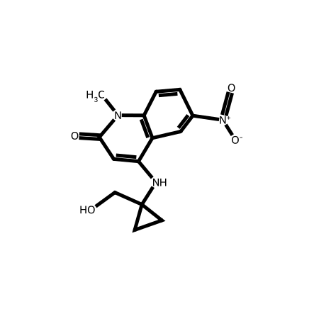 Cn1c(=O)cc(NC2(CO)CC2)c2cc([N+](=O)[O-])ccc21